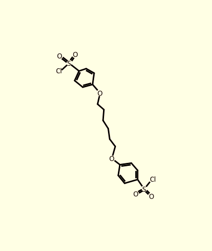 O=S(=O)(Cl)c1ccc(OCCCCCCOc2ccc(S(=O)(=O)Cl)cc2)cc1